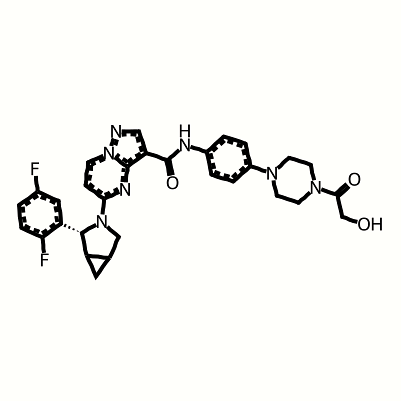 O=C(Nc1ccc(N2CCN(C(=O)CO)CC2)cc1)c1cnn2ccc(N3CC4CC4[C@@H]3c3cc(F)ccc3F)nc12